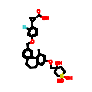 Cc1cc(OCC2(O)CCS(O)(O)CC2)cc2c1-c1cc(COc3ccc([C@H]4C[C@@H]4C(=O)O)c(F)c3)ccc1CCC2